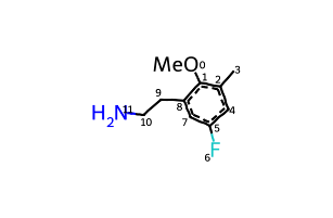 COc1c(C)cc(F)cc1CCN